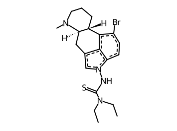 CCN(CC)C(=S)Nn1cc2c3c(c(Br)ccc31)[C@H]1CCCN(C)[C@@H]1C2